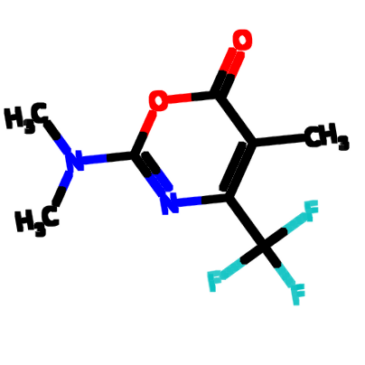 Cc1c(C(F)(F)F)nc(N(C)C)oc1=O